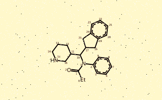 CCC(=O)N(c1ccccc1)C(C1CCCNC1)C1Cc2ccccc2C1